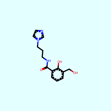 O=C(NCCCn1ccnc1)c1cccc(CO)c1O